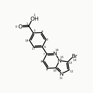 O=C(O)c1ccc(-c2ccc3ncc(Br)n3n2)cc1